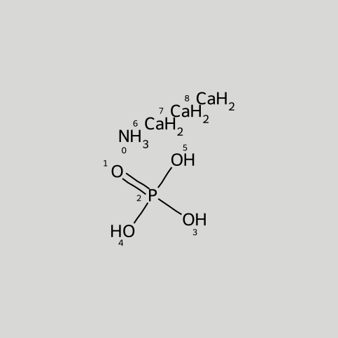 N.O=P(O)(O)O.[CaH2].[CaH2].[CaH2]